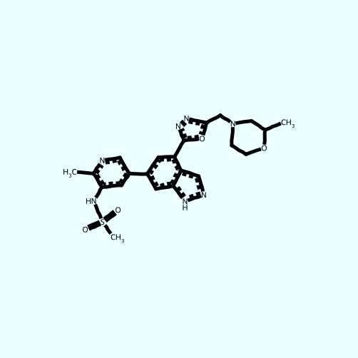 Cc1ncc(-c2cc(-c3nnc(CN4CCOC(C)C4)o3)c3cn[nH]c3c2)cc1NS(C)(=O)=O